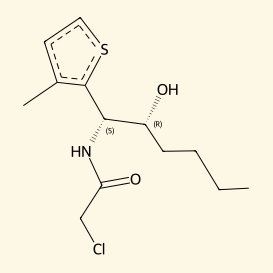 CCCC[C@@H](O)[C@H](NC(=O)CCl)c1sccc1C